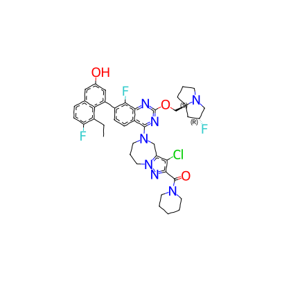 CCc1c(F)ccc2cc(O)cc(-c3ccc4c(N5CCCn6nc(C(=O)N7CCCCC7)c(Cl)c6C5)nc(OC[C@@]56CCCN5C[C@H](F)C6)nc4c3F)c12